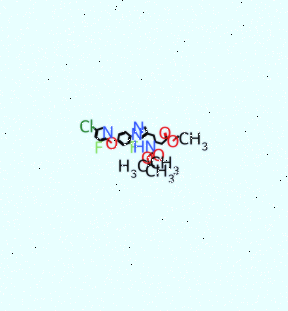 CCOC(=O)CC(Cc1cnn(-c2ccc(Oc3ncc(Cl)cc3F)cc2F)c1)NC(=O)OC(C)(C)C